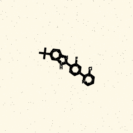 CC(C)(C)c1ccc2nc(-c3ccc(-c4ncccc4Cl)cc3F)[nH]c2c1